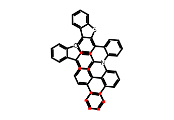 c1ccc(-c2ccccc2-c2c(-c3ccccc3)cccc2N(c2ccc3c(c2)oc2ccccc23)c2ccccc2-c2cccc3c2sc2ccccc23)cc1